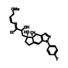 CC/C(=N\C=C/COC)C(O)C[C@]1(O)CCC2=Cc3c(cnn3-c3ccc(F)cc3)C[C@@]21C